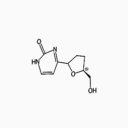 O=c1nc(C2CC[C@@H](CO)O2)cc[nH]1